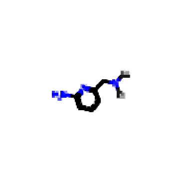 CCN(CC)Cc1cccc(N)n1